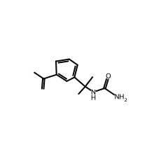 C=C(C)c1cccc(C(C)(C)NC(N)=O)c1